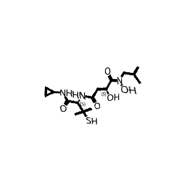 CC(C)CN(O)C(=O)[C@@H](O)CC(=O)N[C@@H](C(=O)NC1CC1)C(C)(C)S